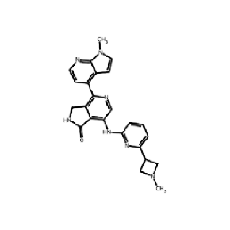 CN1CC(c2cccc(Nc3cnc(-c4ccnc5c4ccn5C)c4c3C(=O)NC4)n2)C1